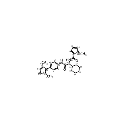 Cc1n[nH]c(C)c1-c1ccc(NC(=O)[C@@H](NC(=O)c2ccnn2C)C2CCCCC2)cc1